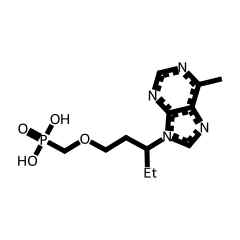 CCC(CCOCP(=O)(O)O)n1cnc2c(C)ncnc21